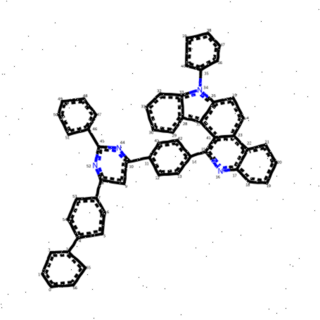 c1ccc(-c2ccc(-c3cc(-c4ccc(-c5nc6ccccc6c6ccc7c(c8ccccc8n7-c7ccccc7)c56)cc4)nc(-c4ccccc4)n3)cc2)cc1